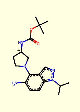 CC(C)n1ncc2c(N3CC[C@@H](NC(=O)OC(C)(C)C)C3)c(N)ccc21